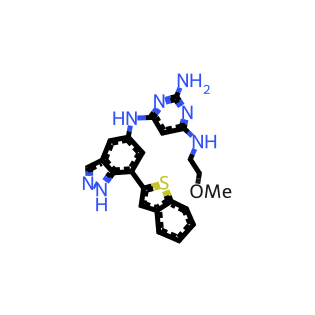 COCCNc1cc(Nc2cc(-c3cc4ccccc4s3)c3[nH]ncc3c2)nc(N)n1